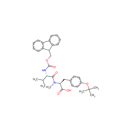 CC(C)[C@H](NC(=O)OCC1c2ccccc2-c2ccccc21)C(=O)N(C)[C@@H](Cc1ccc(OC(C)(C)C)cc1)C(=O)O